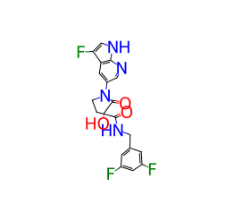 O=C(NCc1cc(F)cc(F)c1)[C@@]1(O)CCN(c2cnc3[nH]cc(F)c3c2)C1=O